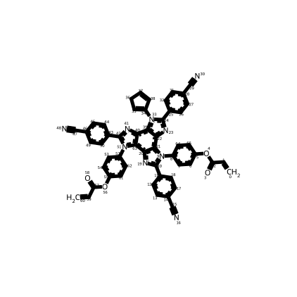 C=CC(=O)Oc1ccc(-n2c(-c3ccc(C#N)cc3)nc3c2c2nc(-c4ccc(C#N)cc4)n(C4=CCC=C4)c2c2nc(-c4ccc(C#N)cc4)n(-c4ccc(OC(=O)C=C)cc4)c23)cc1